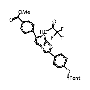 CCCCCOc1ccc(-c2cn3nc(-c4ccc(C(=O)OC)cc4)sc3n2)cc1.O=C(O)C(F)(F)F